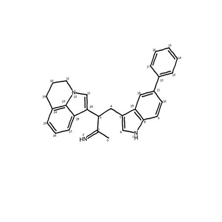 CC(=N)C(Cc1c[nH]c2ccc(-c3ccccc3)cc12)c1cn2c3c(cccc13)CCC2